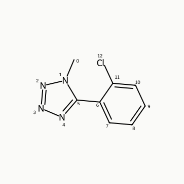 Cn1nnnc1-c1ccccc1Cl